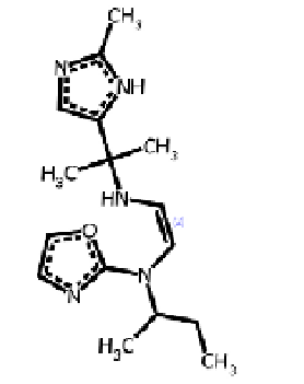 CCC(C)N(/C=C\NC(C)(C)c1cnc(C)[nH]1)c1ncco1